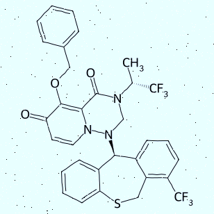 C[C@@H](N1CN([C@@H]2c3ccccc3SCc3c2cccc3C(F)(F)F)n2ccc(=O)c(OCc3ccccc3)c2C1=O)C(F)(F)F